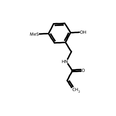 C=CC(=O)NCc1cc(SC)ccc1O